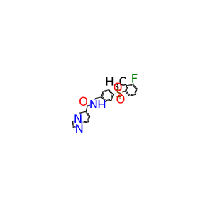 Cc1c(F)cccc1S(=O)(=O)c1ccc(CNC(=O)c2ccc3nccn3c2)cc1